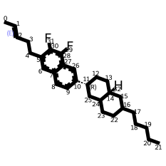 C/C=C/CCc1cc2ccc([C@@H]3CC[C@@H]4CC(CCCCC)CCC4C3)cc2c(F)c1F